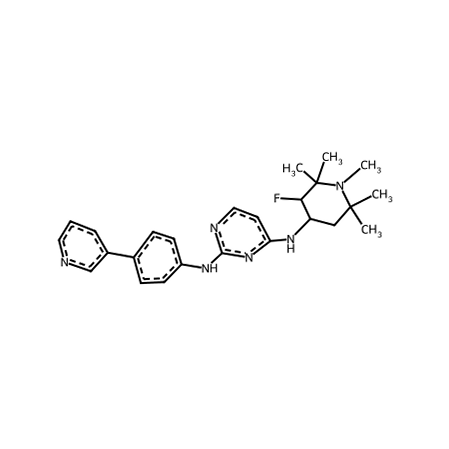 CN1C(C)(C)CC(Nc2ccnc(Nc3ccc(-c4cccnc4)cc3)n2)C(F)C1(C)C